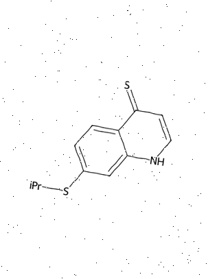 CC(C)Sc1ccc2c(=S)cc[nH]c2c1